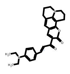 CCN(CC)c1ccc(/C=C/C(=O)c2cc3cc4c5c(c3oc2=O)CCCN5CCC4)cc1